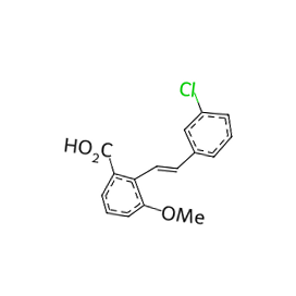 COc1cccc(C(=O)O)c1C=Cc1cccc(Cl)c1